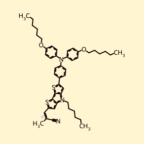 CCCCCCOc1ccc(N(c2ccc(OCCCCCC)cc2)c2ccc(-c3cc4c(s3)c3sc(/C=C(/C)C#N)cc3n4CCCCCC)cc2)cc1